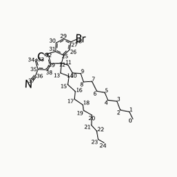 CCCCCCCCCCCCC1(CCCCCCCCCCCC)c2cc(Br)ccc2-c2ccc(C#N)cc21